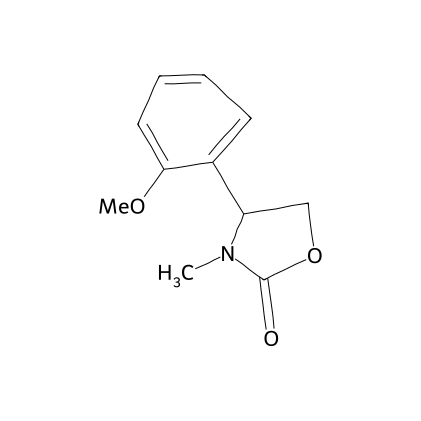 COc1ccccc1C1COC(=O)N1C